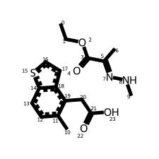 CCOC(=O)/C(C)=N/NC.Cc1ccc2sccc2c1CC(=O)O